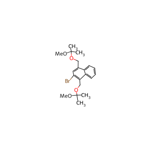 COC(C)(C)OCc1cc(Br)c(COC(C)(C)OC)c2ccccc12